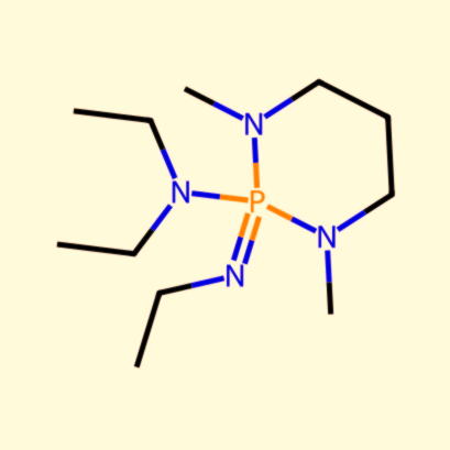 CCN=P1(N(CC)CC)N(C)CCCN1C